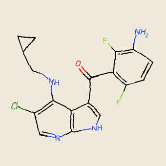 Nc1ccc(F)c(C(=O)c2c[nH]c3ncc(Cl)c(NCC4CC4)c23)c1F